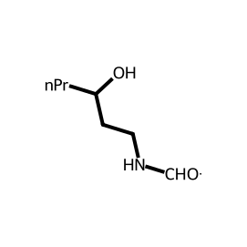 CCCC(O)CCN[C]=O